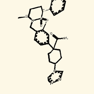 C[C@H]1CC[C@H](c2ccccc2)S(=O)(=O)N1Cc1ccc(C2(C(N)=O)CCC(n3cnnc3)CC2)cc1F